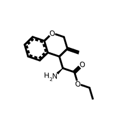 C=C1COc2ccccc2C1[C@H](N)C(=O)OCC